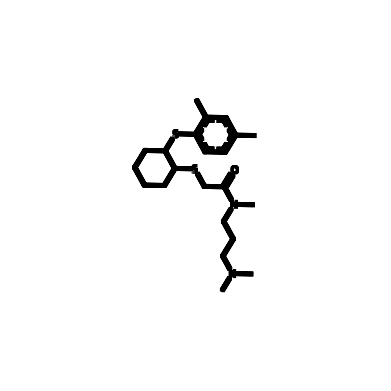 Cc1ccc(SC2CCCCC2SCC(=O)N(C)CCCN(C)C)c(C)c1